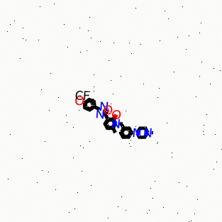 Cc1ccc(-c2nc(-c3ccc(OC(F)(F)F)cc3)no2)c(=O)n1Cc1cccc(N2CCN(C)CC2)c1